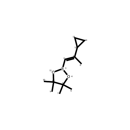 C/C(=C\B1OC(C)(C)C(C)(C)O1)C1CC1